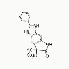 CCOC(=O)C1(C)C(=O)Nc2cc3c(cc21)NC(c1cccnc1)N3